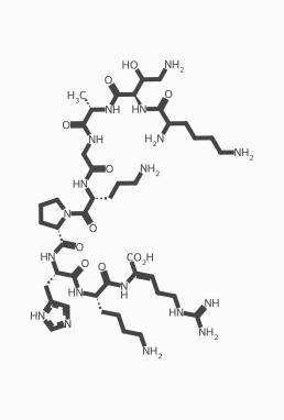 C[C@H](NC(=O)[C@H](NC(=O)C(N)CCCCN)C(O)CN)C(=O)NCC(=O)N[C@H](CCCN)C(=O)N1CCC[C@H]1C(=O)N[C@@H](Cc1cnc[nH]1)C(=O)N[C@@H](CCCCN)C(=O)N/C(=C\CCNC(=N)N)C(=O)O